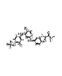 CNC(=O)C1Cc2cc(Nc3ncc(F)c(Nc4ccc(OC(F)(F)F)c(Cl)c4)n3)ccc2O1